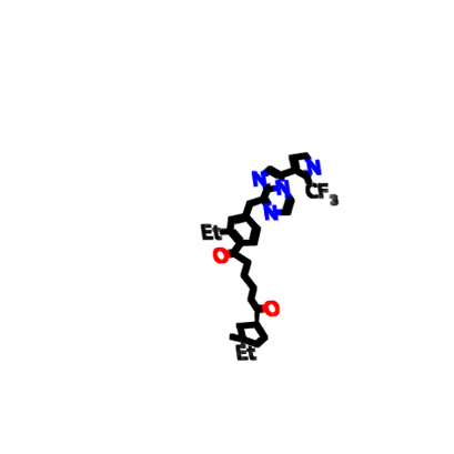 CCc1cc(Cc2nccn3c(C4=CCN=C4C(F)(F)F)cnc23)ccc1C(=O)CCCCC(=O)[C@H]1CC[C@](C)(CC)C1